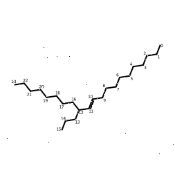 CCCCCCCCCCC=CC(CCC)CCCCCCCC